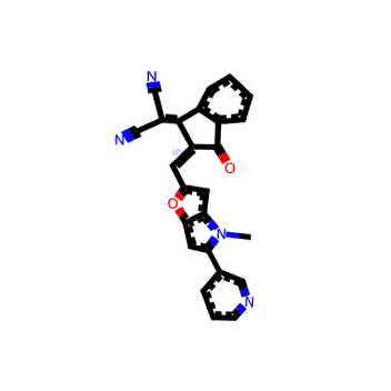 Cn1c(-c2cccnc2)cc2oc(/C=C3\C(=O)c4ccccc4C3=C(C#N)C#N)cc21